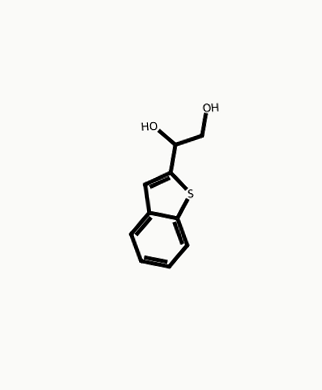 OCC(O)c1cc2ccccc2s1